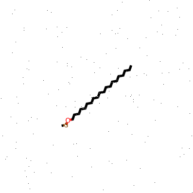 CCCCCCCCCCCCCCCCCCCCOSC